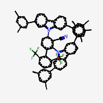 Cc1cc(C)cc(-c2ccc3c4ccc(-c5cc(C)cc(C)c5)cc4n(-c4ccc(-c5c(C(F)(F)F)cccc5C(F)(F)F)c(-n5c6cc(-c7cc(C)cc(C)c7)ccc6c6ccc(-c7cc(C)cc(C)c7)cc65)c4C#N)c3c2)c1